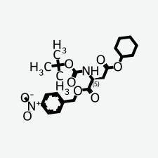 CC(C)(C)OC(=O)N[C@@H](CC(=O)OC1CCCCC1)C(=O)OCc1ccc([N+](=O)[O-])cc1